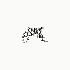 N#Cc1c(-c2ccc3c(c2)OCCCC3)cccc1-c1nc2c(C#N)cc(CNCCO)cn2n1